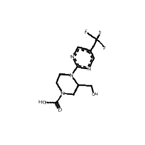 O=C(O)N1CCN(c2ncc(C(F)(F)F)cn2)C(CO)C1